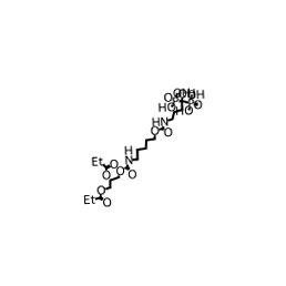 CCC(=O)OCC(COC(=O)NCCCCCOC(=O)NCCCC(O)(P(=O)(O)O)P(=O)(O)O)OC(=O)CC